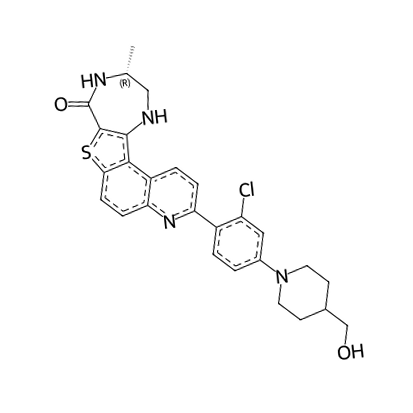 C[C@@H]1CNc2c(sc3ccc4nc(-c5ccc(N6CCC(CO)CC6)cc5Cl)ccc4c23)C(=O)N1